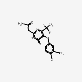 NC(=O)Cc1nc(C(F)(F)C(F)(F)F)c(Oc2ccc(Cl)c(C(F)(F)F)c2)c(=O)[nH]1